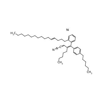 CCCCCCCCCCCC=CCCCc1ccccc1C(=C(C=C=[N+]=[N-])CCCCC)c1ccc(CCCCCC)cc1.[Ni]